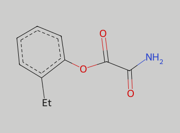 CCc1ccccc1OC(=O)C(N)=O